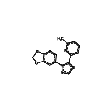 Cc1cccc(-c2ncsc2-c2ccc3c(c2)OCO3)n1